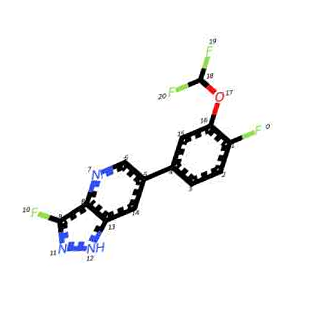 Fc1ccc(-c2cnc3c(F)n[nH]c3c2)cc1OC(F)F